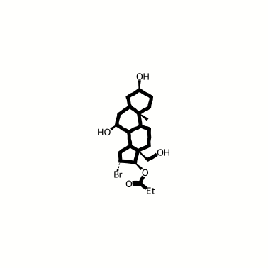 CCC(=O)O[C@H]1[C@H](Br)CC2C3C(CC[C@@]21CO)[C@@]1(C)CC[C@H](O)CC1C[C@@H]3O